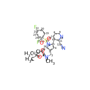 CN(Cc1cc(-c2cccnc2C#N)n(S(=O)(=O)c2ccc(F)cc2F)c1)C(=O)OC(C)(C)C